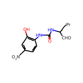 CC(C)C(C=O)NC(=O)Nc1ccc([N+](=O)[O-])cc1O